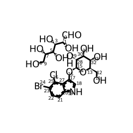 O=C[C@H](O)[C@@H](O)[C@@H](O)[C@H](O)CO.OC[C@H]1O[C@@H](Oc2c[nH]c3ccc(Br)c(Cl)c23)[C@H](O)[C@@H](O)[C@H]1O